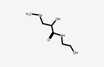 C[Se]CC(O)C(=O)NCCO